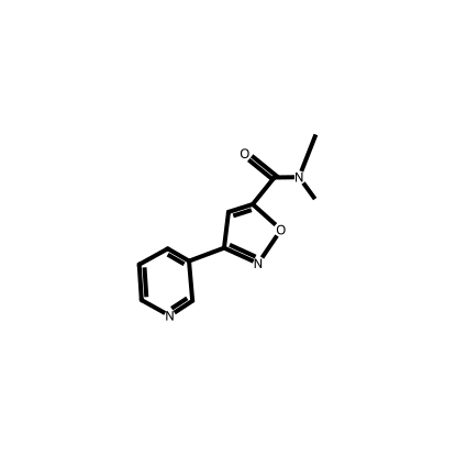 CN(C)C(=O)c1cc(-c2cccnc2)no1